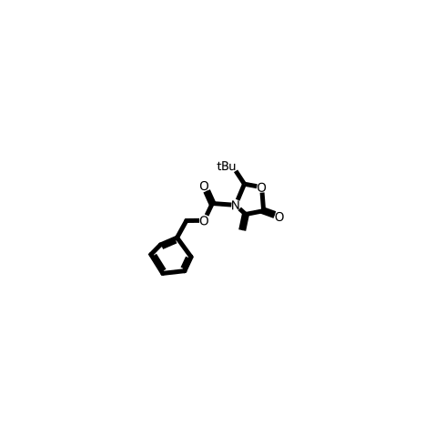 C=C1C(=O)OC(C(C)(C)C)N1C(=O)OCc1ccccc1